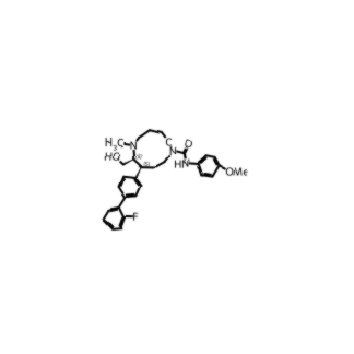 COc1ccc(NC(=O)N2CCCCN(C)[C@H](CO)[C@H](c3ccc(-c4ccccc4F)cc3)CC2)cc1